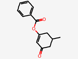 CC1CC(=O)C=C(OC(=O)c2ccccc2)C1